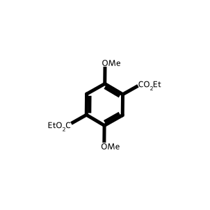 CCOC(=O)c1cc(OC)c(C(=O)OCC)cc1OC